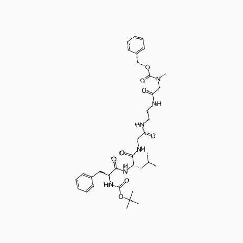 CC(C)C[C@H](NC(=O)[C@H](Cc1ccccc1)NC(=O)OC(C)(C)C)C(=O)NCC(=O)NCCNC(=O)CN(C)C(=O)OCc1ccccc1